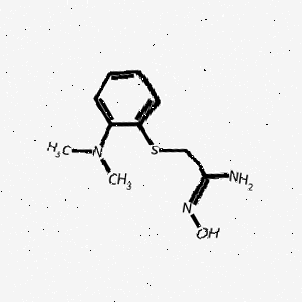 CN(C)c1ccccc1SCC(N)=NO